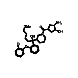 CCc1ccccc1Oc1ccccc1[C@](O)(CCCCOC)C1CCCN(C(=O)[C@H]2C[C@@H](N)[C@@H](O)C2)C1